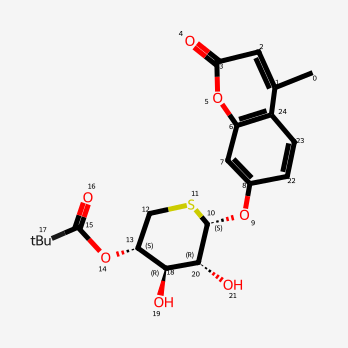 Cc1cc(=O)oc2cc(O[C@H]3SC[C@@H](OC(=O)C(C)(C)C)[C@H](O)[C@H]3O)ccc12